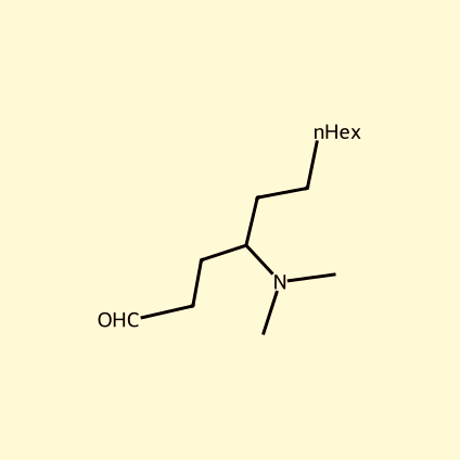 CCCCCCCCC(CCC=O)N(C)C